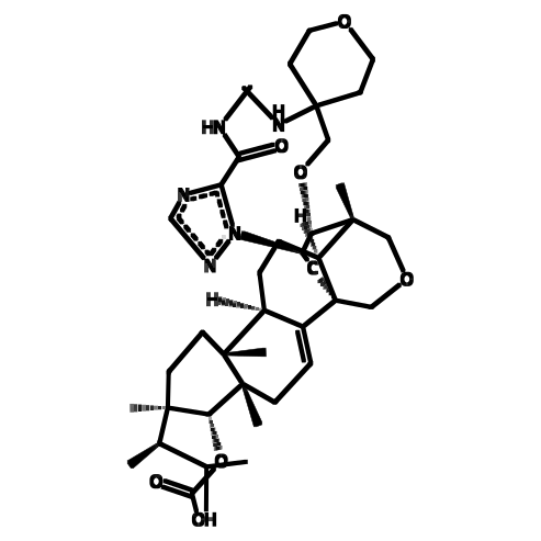 CNC(=O)c1ncnn1[C@@H]1C[C@@]23COC[C@](C)([C@@H]2CC[C@H]2C3=CC[C@]3(C)[C@H](OC(=O)O)[C@@](C)([C@H](C)C(C)C)CC[C@]23C)[C@H]1OCC1(NC)CCOCC1